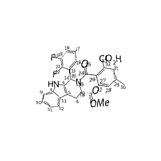 COC(=O)[C@@H]1Cc2c([nH]c3ccccc23)[C@@H](c2cccc(F)c2F)N1C(=O)c1ccc(C)cc1C(=O)O